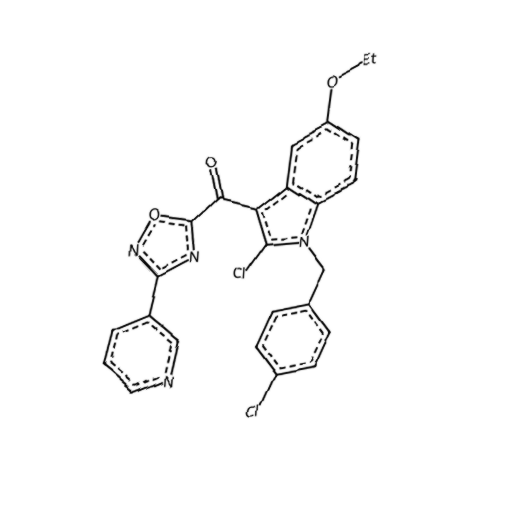 CCOc1ccc2c(c1)c(C(=O)c1nc(-c3cccnc3)no1)c(Cl)n2Cc1ccc(Cl)cc1